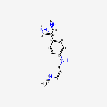 C=N/C=C\CNc1ccc(/C(C=N)=C/N)cc1